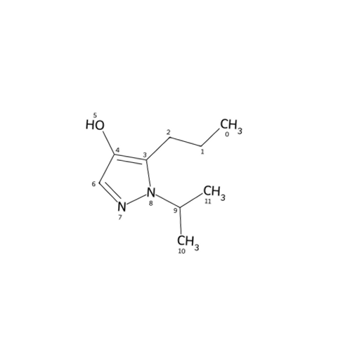 CCCc1c(O)cnn1C(C)C